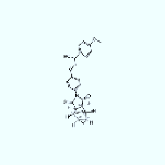 COc1ccc(C(O)COc2ccc(N3C(=O)[C@@H]4[C@@H]5C=C[C@@H]([C@H]6C[C@@H]56)[C@@H]4C3=O)cc2)cc1